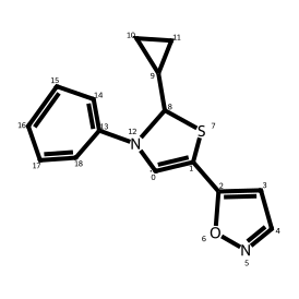 [C]1=C(c2ccno2)SC(C2CC2)N1c1ccccc1